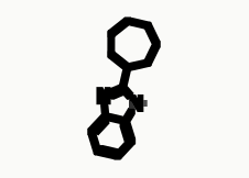 c1ccc2c(c1)[N]C(C1CCCCCC1)=N2